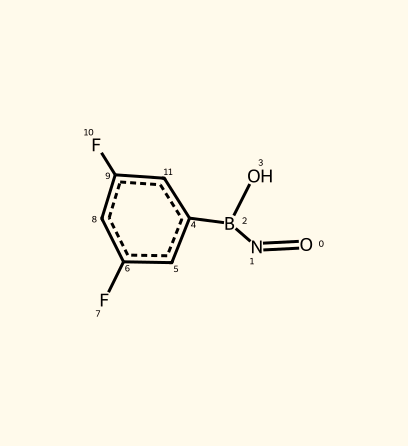 O=NB(O)c1cc(F)cc(F)c1